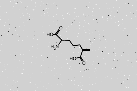 C=C(CCCC(N)C(=O)O)C(=O)O